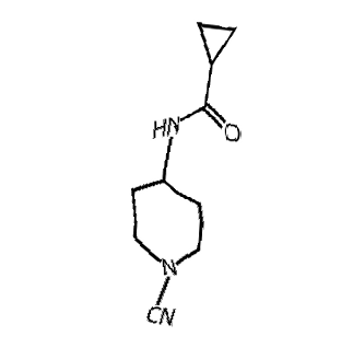 N#CN1CCC(NC(=O)C2CC2)CC1